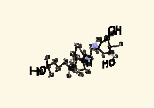 C=C1[C@H](CO)C/C(=C\C=C2/CCC[C@]3(C)[C@@H]([C@H](C)CCCC(C)(C)O)CC[C@@H]23)C[C@H]1O